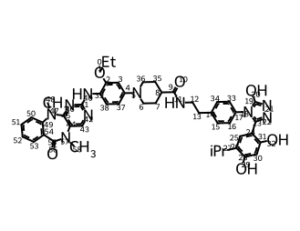 CCOc1cc(N2CCC(C(=O)NCCc3ccc(-n4c(O)nnc4-c4cc(C(C)C)c(O)cc4O)cc3)CC2)ccc1Nc1ncc2c(n1)N(C)c1ccccc1C(=O)N2C